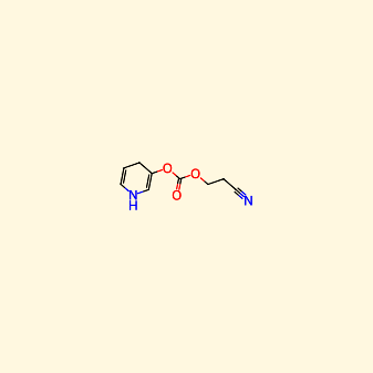 N#CCCOC(=O)OC1=CNC=CC1